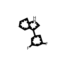 Fc1cc(F)cc(-c2c[nH]c3cc[c]cc23)c1